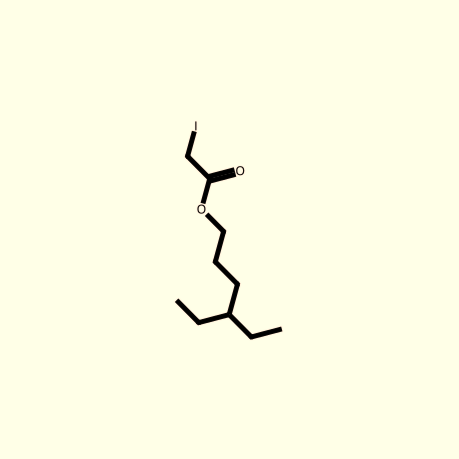 CCC(CC)CCCOC(=O)CI